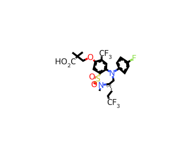 CN1[C@@H](CCC(F)(F)F)CN(c2ccc(F)cc2)c2cc(C(F)(F)F)c(OCC(C)(C)C(=O)O)cc2S1(=O)=O